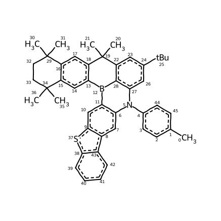 Cc1ccc(N2c3cc4c(cc3B3c5cc6c(cc5C(C)(C)c5cc(C(C)(C)C)cc2c53)C(C)(C)CCC6(C)C)sc2ccccc24)cc1